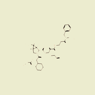 C=CCC[C@H](NC(=O)[C@@H]1[C@@H]2[C@H](CN1C(=O)[C@@H](NC(=O)OC(C)(C)C)C1CCCCC1)C2(C)C)C(=O)C(=O)NCCC(=O)N(C)Cc1ccccc1